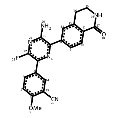 COc1ccc(-c2nc(-c3ccc4c(c3)CCNC4=O)c(N)nc2F)cc1C#N